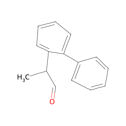 CC(C=O)c1ccccc1-c1ccccc1